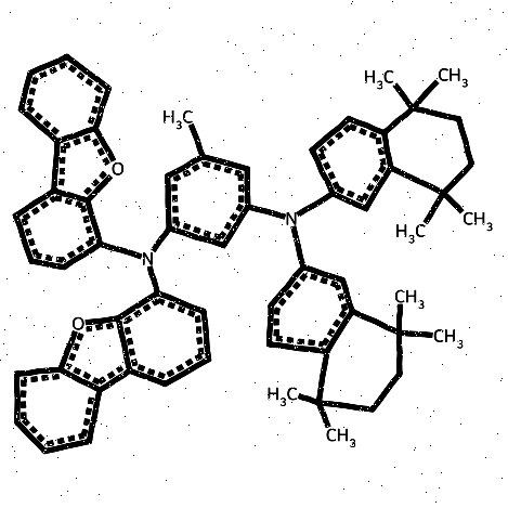 Cc1cc(N(c2ccc3c(c2)C(C)(C)CCC3(C)C)c2ccc3c(c2)C(C)(C)CCC3(C)C)cc(N(c2cccc3c2oc2ccccc23)c2cccc3c2oc2ccccc23)c1